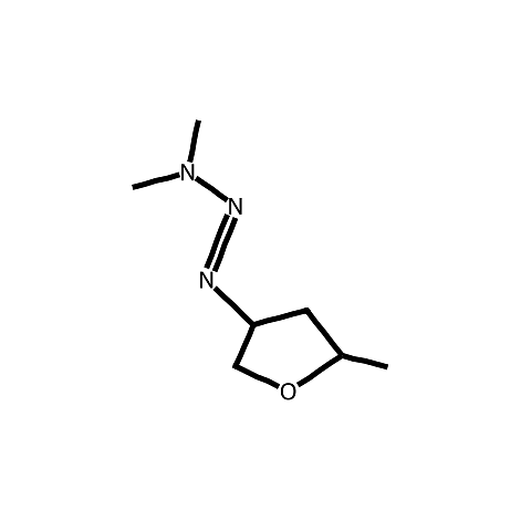 CC1CC(N=NN(C)C)CO1